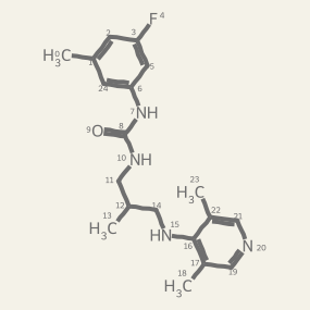 Cc1cc(F)cc(NC(=O)NCC(C)CNc2c(C)cncc2C)c1